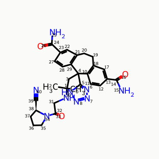 CC(C)(CC1(c2nnn[nH]2)c2ccc(C(N)=O)cc2CCc2cc(C(N)=O)ccc21)NCC(=O)N1CCC[C@H]1C#N